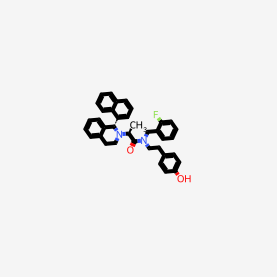 C[C@@H](C(=O)N(CCc1ccc(O)cc1)Cc1ccccc1F)N1CCc2ccccc2[C@@H]1c1cccc2ccccc12